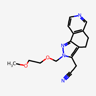 COCCOCn1nc2c(c1CC#N)CCc1cnccc1-2